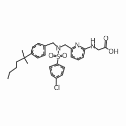 CCCCC(C)(C)c1ccc(CN(Cc2cccc(NCC(=O)O)n2)S(=O)(=O)c2ccc(Cl)cc2)cc1